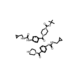 CC(C)(C)OC(=O)N1CCN(C(=O)c2ccc(NC(=O)NCC3CC3)cc2)CC1.O=C(NCC1CC1)Nc1ccc(C(=O)N2CCNCC2)cc1